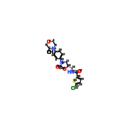 CC1COCCN1c1ccc(N2C[C@H](CNC(=O)c3ccc(Cl)s3)OC2=O)cc1